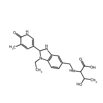 CCN1c2ccc(CNC(C(=O)O)C(C)O)cc2NC1c1c[nH]c(=O)c(C)c1